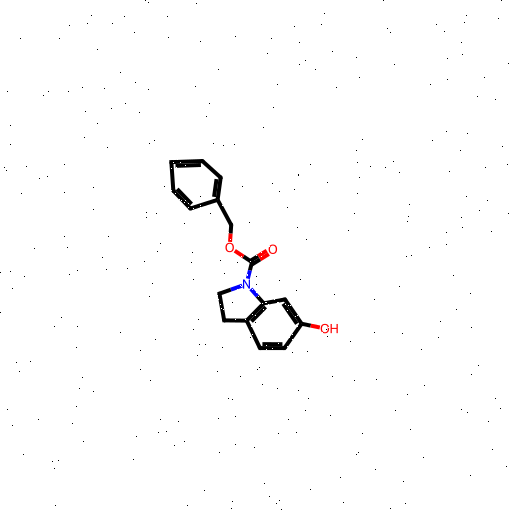 O=C(OCc1ccccc1)N1CCc2ccc(O)cc21